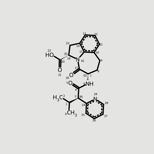 CC(C)[C@@H](C(=O)N[C@H]1CCc2cccc3c2N(C1=O)[C@H](C(=O)O)C3)c1ccccn1